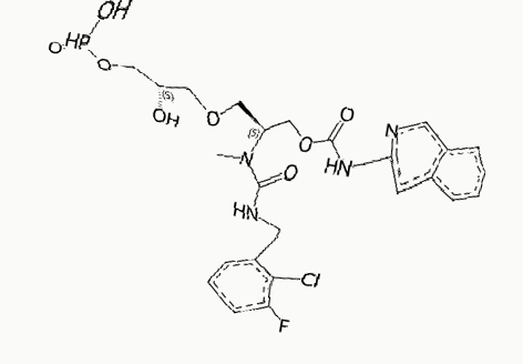 CN(C(=O)NCc1cccc(F)c1Cl)[C@@H](COC[C@H](O)CO[PH](=O)O)COC(=O)Nc1cc2ccccc2cn1